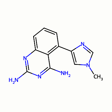 Cn1cnc(-c2cccc3nc(N)nc(N)c23)c1